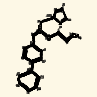 CCCO[SiH](Cc1ccc(-c2ccccc2)cc1)Cn1cncn1